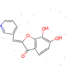 O=C1C(=Cc2cccnc2)Oc2c1ccc(O)c2O